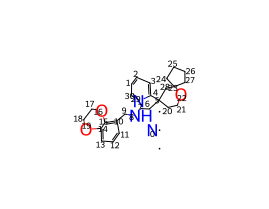 [N].c1ccc(C2(CCNCc3cccc4c3OCCO4)CCOC3(CCCC3)C2)nc1